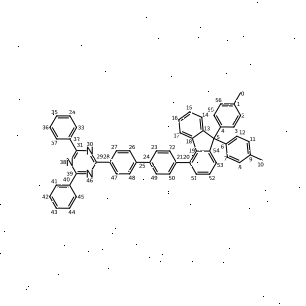 Cc1ccc(C2(c3ccc(C)cc3)c3ccccc3-c3c(-c4ccc(-c5ccc(-c6nc(-c7ccccc7)nc(-c7ccccc7)n6)cc5)cc4)cccc32)cc1